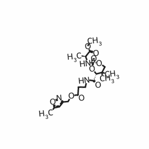 COC(=O)[C@H](C)NP1(=O)OCC(C)(C)[C@H](C(=O)NCCC(=O)OCc2cc(C)on2)O1